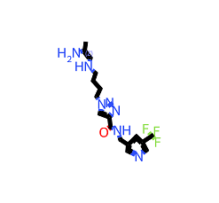 C/C(N)=C/NCCCCn1cc(C(=O)NCc2cncc(C(F)(F)F)c2)nn1